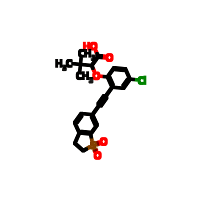 CC(C)(C)C(Oc1ccc(Cl)cc1C#Cc1ccc2c(c1)S(=O)(=O)CC2)C(=O)O